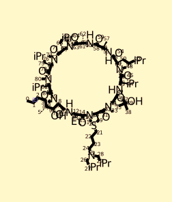 C/C=C/C[C@@H](C)[C@@H](O)[C@H]1C(=O)N[C@H](CC)C(=O)N(C)[C@H](CSCCCCN(CC(C)C)CC(C)C)C(=O)N(C)[C@@H](CC(C)(C)O)C(=O)N[C@H](C(C)C)C(=O)N(C)[C@H](CCC(C)C)C(=O)N[C@H](C)C(=O)N[C@@H](C)C(=O)N(C)[C@@H](CC(C)C)C(=O)N(C)[C@H](CC(C)C)C(=O)N(C)[C@H](C(C)C)C(=O)N1C